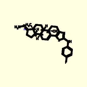 C[C@]12CCc3nc(Nc4ccc(F)cc4)sc3C1=CC[C@@H]1[C@@H]2CC[C@]2(C)/C(=N/N)CC[C@@H]12